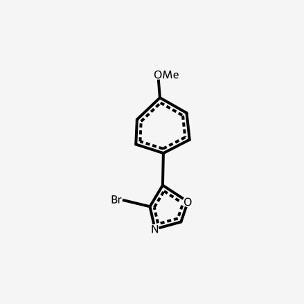 COc1ccc(-c2ocnc2Br)cc1